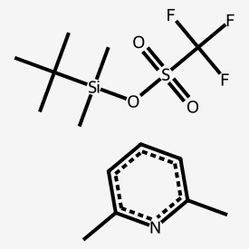 CC(C)(C)[Si](C)(C)OS(=O)(=O)C(F)(F)F.Cc1cccc(C)n1